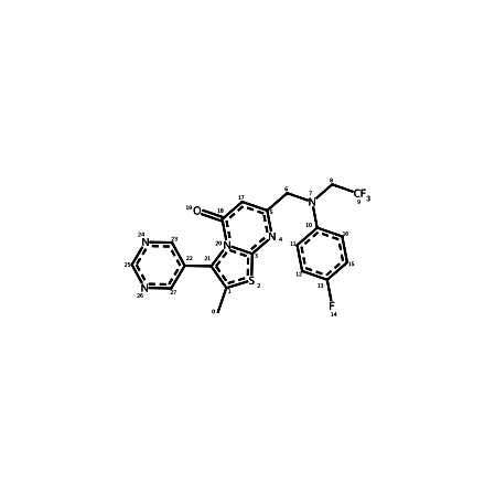 Cc1sc2nc(CN(CC(F)(F)F)c3ccc(F)cc3)cc(=O)n2c1-c1cncnc1